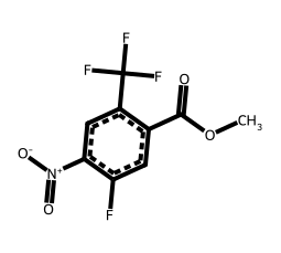 COC(=O)c1cc(F)c([N+](=O)[O-])cc1C(F)(F)F